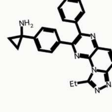 CCc1nnc2ccc3nc(-c4ccccc4)c(-c4ccc(C5(N)CC5)cc4)nc3n12